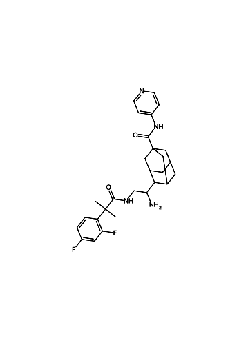 CC(C)(C(=O)NCC(N)C1C2CC3CC1CC(C(=O)Nc1ccncc1)(C3)C2)c1ccc(F)cc1F